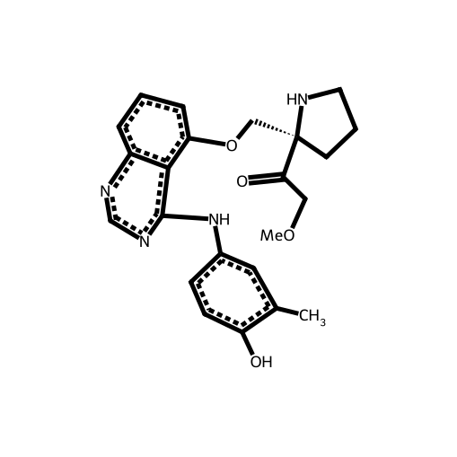 COCC(=O)[C@]1(COc2cccc3ncnc(Nc4ccc(O)c(C)c4)c23)CCCN1